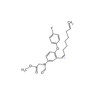 C=CCCCCC/C=C\c1cc(N(C=O)CC(=O)OC)ccc1Oc1ccc(F)cc1